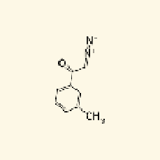 Cc1cccc(C(=O)C=[N+]=[N-])c1